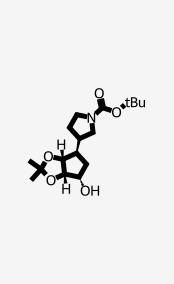 CC(C)(C)OC(=O)N1CCC([C@H]2C[C@H](O)[C@@H]3OC(C)(C)O[C@@H]32)C1